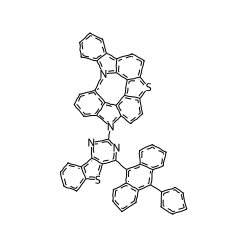 c1ccc(-c2c3ccccc3c(-c3nc(-n4c5ccc6sc7ccc8c9ccccc9n9c%10cccc4c%10c5c6c7c89)nc4c3sc3ccccc34)c3ccccc23)cc1